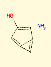 N.Oc1cc2cc-2c1